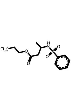 CC(CC(=O)OCCC(Cl)(Cl)Cl)NS(=O)(=O)c1ccccc1